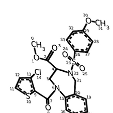 COC(=O)C1CN(C(=O)c2sccc2Cl)c2ccccc2CN1S(=O)(=O)c1ccc(OC)cc1